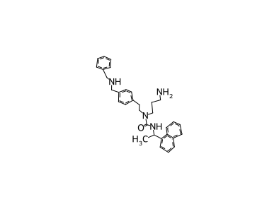 CC(NC(=O)N(CCCN)CCc1ccc(CNCc2ccccc2)cc1)c1cccc2ccccc12